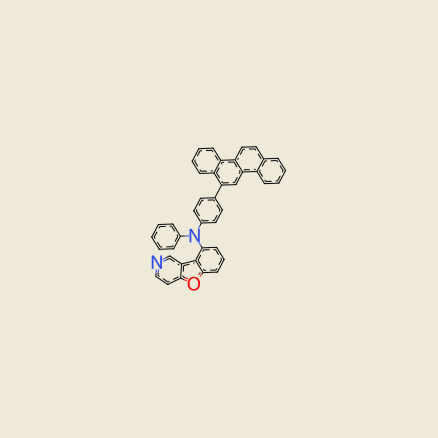 c1ccc(N(c2ccc(-c3cc4c5ccccc5ccc4c4ccccc34)cc2)c2cccc3oc4ccncc4c23)cc1